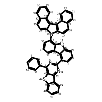 c1ccc(-c2nc(-c3cccc4oc5c(-n6c7ccc8ccccc8c7c7c8ccccc8ccc76)cccc5c34)nc3c2sc2ccccc23)cc1